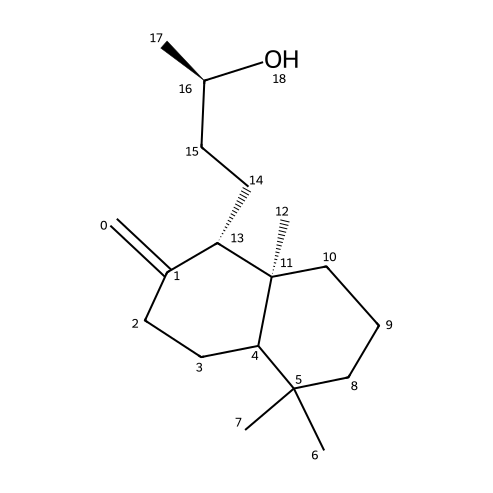 C=C1CCC2C(C)(C)CCC[C@]2(C)[C@H]1CC[C@@H](C)O